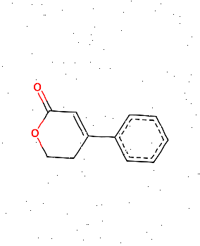 O=C1C=C(c2ccccc2)CCO1